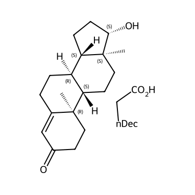 CCCCCCCCCCCC(=O)O.C[C@]12CC[C@H]3[C@@H](CCC4=CC(=O)CC[C@@]43C)[C@@H]1CC[C@@H]2O